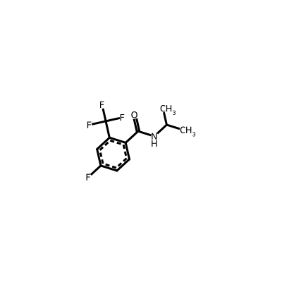 CC(C)NC(=O)c1ccc(F)cc1C(F)(F)F